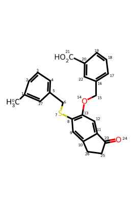 Cc1cccc(CSc2cc3c(cc2OCc2cccc(C(=O)O)c2)C(=O)CC3)c1